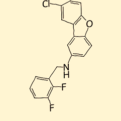 Fc1cccc(CNc2ccc3oc4ccc(Cl)cc4c3c2)c1F